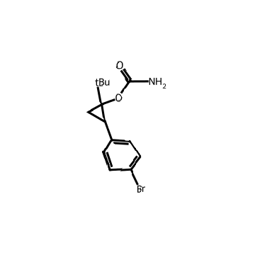 CC(C)(C)C1(OC(N)=O)CC1c1ccc(Br)cc1